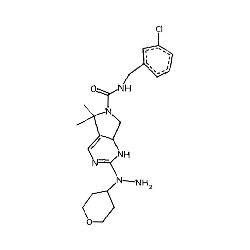 CC1(C)C2=CN=C(N(N)C3CCOCC3)NC2CN1C(=O)NCc1cccc(Cl)c1